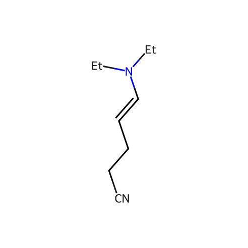 CCN(C=CCCC#N)CC